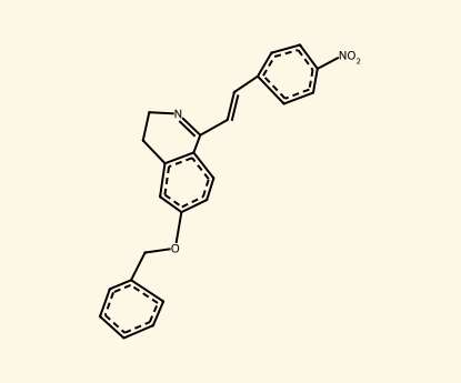 O=[N+]([O-])c1ccc(C=CC2=NCCc3cc(OCc4ccccc4)ccc32)cc1